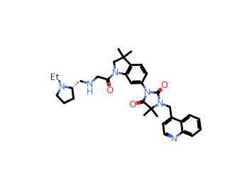 CCN1CCC[C@H]1CNCC(=O)N1CC(C)(C)c2ccc(N3C(=O)N(Cc4ccnc5ccccc45)C(C)(C)C3=O)cc21